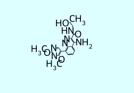 COc1ncc(-c2cccc3c(N)c(C(=O)NCC(C)O)nnc23)c(OC)n1